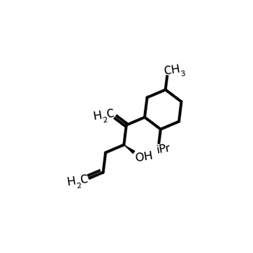 C=CC[C@H](O)C(=C)C1CC(C)CCC1C(C)C